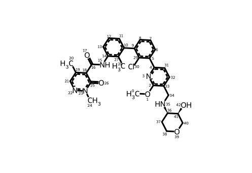 COc1nc(-c2cccc(-c3cccc(NC(=O)c4c(C)cnn(C)c4=O)c3C)c2Cl)ccc1CN[C@@H]1CCOC[C@@H]1O